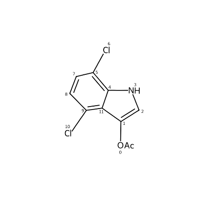 CC(=O)Oc1c[nH]c2c(Cl)ccc(Cl)c12